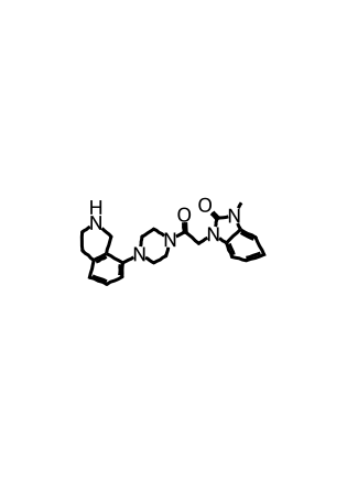 Cn1c(=O)n(CC(=O)N2CCN(c3cccc4c3CNCC4)CC2)c2ccccc21